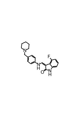 O=C1Nc2cccc(F)c2C1=CNc1ccc(CN2CCCCC2)cc1